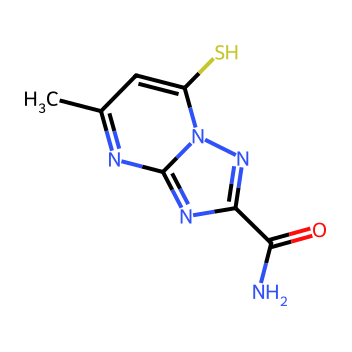 Cc1cc(S)n2nc(C(N)=O)nc2n1